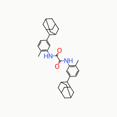 Cc1ccc(C2C3CC4CC(C3)CC2C4)cc1NC(=O)C(=O)Nc1cc(C2C3CC4CC(C3)CC2C4)ccc1C